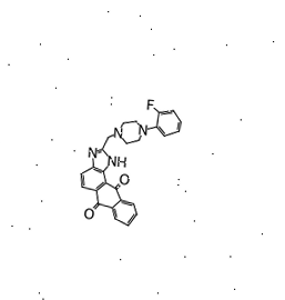 O=C1c2ccccc2C(=O)c2c1ccc1nc(CN3CCN(c4ccccc4F)CC3)[nH]c21